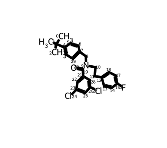 CC(C)(C)c1ccc(CN(CCc2ccc(F)cc2)C(=O)c2cc(Cl)cc(Cl)c2)cc1